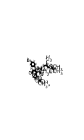 CC(CONC(=O)c1c(Nc2ccc(Br)cc2F)cc(=O)n2c1C1OC(C)(C)OC1C2)COC(C)(C)C